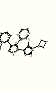 Cc1c(-c2onc(-c3ccccc3Cl)c2-c2cnccn2)cnn1C1CCC1